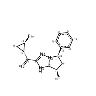 O=C(C1=NN2C(N1)[C@H](F)C[C@@H]2c1ccccc1)[C@@H]1C[C@H]1F